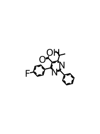 CC(C)c1nc(-c2ccccc2)nc(-c2ccc(F)cc2)c1C(=O)O